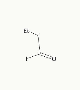 [CH2]CCC(=O)I